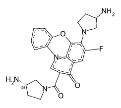 NC1CCN(c2c(F)cc3c(=O)c(C(=O)N4CC[C@H](N)C4)cn4c3c2Oc2ccccc2-4)C1